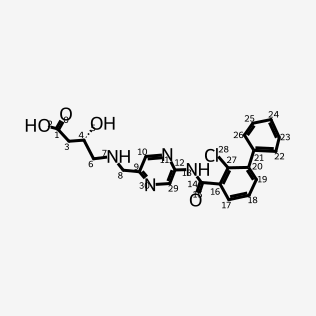 O=C(O)C[C@H](O)CNCc1cnc(NC(=O)c2cccc(-c3ccccc3)c2Cl)cn1